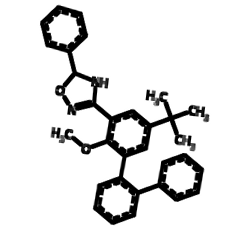 COc1c(C2=NOC(c3ccccc3)N2)cc(C(C)(C)C)cc1-c1ccccc1-c1ccccc1